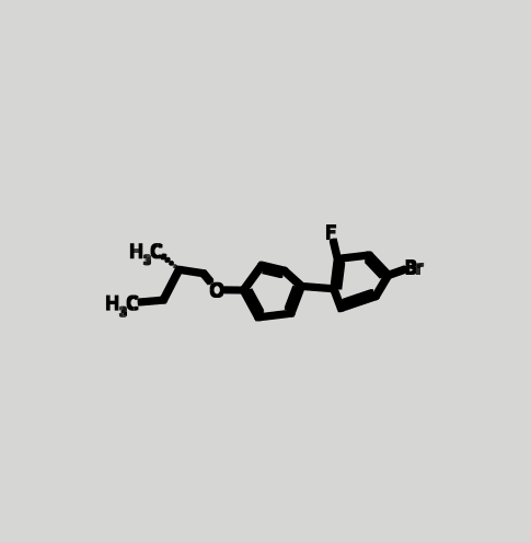 CC[C@H](C)COc1ccc(-c2ccc(Br)cc2F)cc1